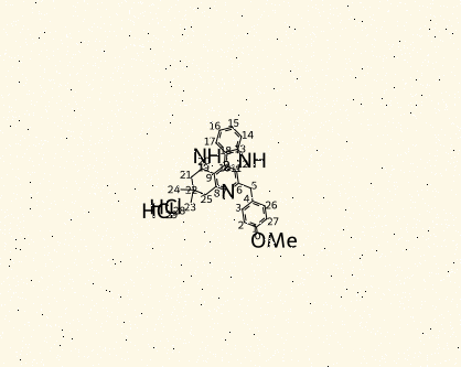 COc1ccc(Cc2nc3c(c4c2[nH]c2ccccc24)C(N)CC(C)(C)C3)cc1.Cl.Cl